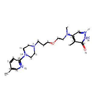 Cc1c(N(C)CCOCCCN2CCN(c3ccc(C#N)cn3)CC2)cn[nH]c1=O